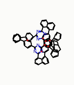 c1ccc(-c2ccc(-c3nc(-c4ccc(-c5ccccc5)cc4)nc(-c4cccc5cccc(-c6ccc7c(c6)C6(c8cc(-c9cccc%10cccc(-c%11nc(-c%12ccc(-c%13ccccc%13)cc%12)nc(-c%12ccc(-c%13ccccc%13)cc%12)n%11)c9%10)ccc8-7)C7CC8CC(C7)CC6C8)c45)n3)cc2)cc1